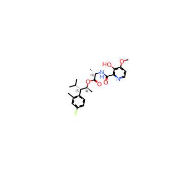 COc1ccnc(C(=O)N[C@@H](C)C(=O)O[C@@H](C)[C@H](c2ccc(F)cc2C)C(C)C)c1O